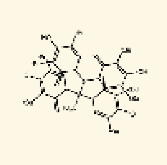 C=C1C(C(C)(C)C)=C(O)C(C(C)(C)C)=CC1C(C1C=C(C(C)(C)C)C(O)=C(C(C)(C)C)C1=C)C(C(=O)O)(C1C=C(C(C)(C)C)C(O)=C(C(C)(C)C)C1=C)C1C=C(C(C)(C)C)C(O)=C(C(C)(C)C)C1=C